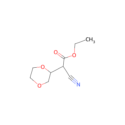 CCOC(=O)C(C#N)C1COCCO1